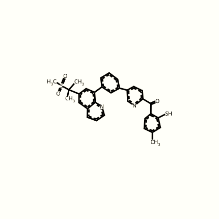 Cc1ccc(C(=O)c2ccc(-c3cccc(-c4cc(C(C)(C)S(C)(=O)=O)cc5cccnc45)c3)cn2)c(S)c1